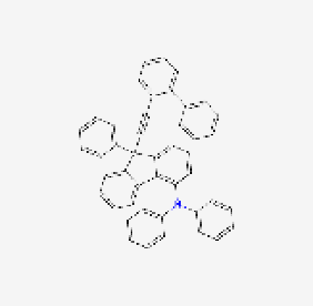 C(#CC1(c2ccccc2)c2ccccc2-c2c(N(c3ccccc3)c3ccccc3)cccc21)c1ccccc1-c1ccccc1